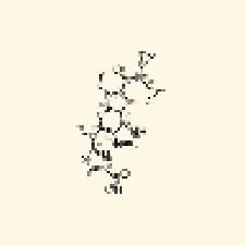 CCn1c(C(=O)N(C2CC2)C2CC2)cc2c3[nH]cnc3c(N(C)c3nc(C(=O)O)cs3)nc21